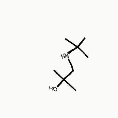 CC(C)(O)CNC(C)(C)C